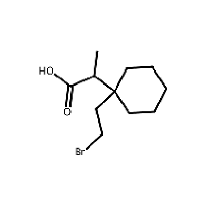 CC(C(=O)O)C1(CCBr)CCCCC1